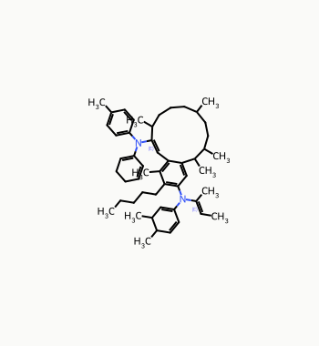 C/C=C(\C)N(C1=CC(C)C(C)C=C1)c1cc2c(c(C)c1CCCCC)/C=C(/N(C1=CCCC=C1)c1ccc(C)cc1)C(C)CCCC(C)CCC(C)C2C